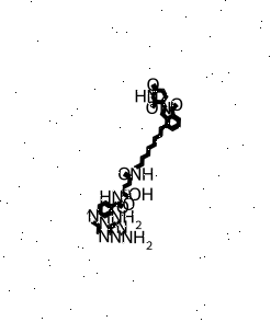 CN(Cc1cnc2nc(N)nc(N)c2n1)c1ccc(C(=O)N[C@@H](CCC(=O)NCCCCCCCCCc2cccc3c2CN(C2CCC(=O)NC2=O)C3=O)C(=O)O)cc1